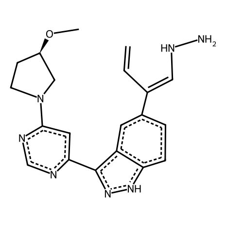 C=C/C(=C\NN)c1ccc2[nH]nc(-c3cc(N4CC[C@@H](OC)C4)ncn3)c2c1